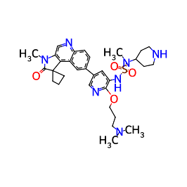 CN(C)CCCOc1ncc(-c2ccc3ncc4c(c3c2)C2(CCC2)C(=O)N4C)cc1NS(=O)(=O)N(C)C1CCNCC1